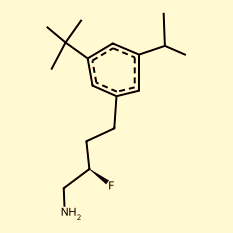 CC(C)c1cc(CC[C@@H](F)CN)cc(C(C)(C)C)c1